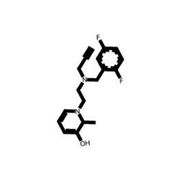 C#CCN(CCN1C=CC=C(O)C1C)Cc1cc(F)ccc1F